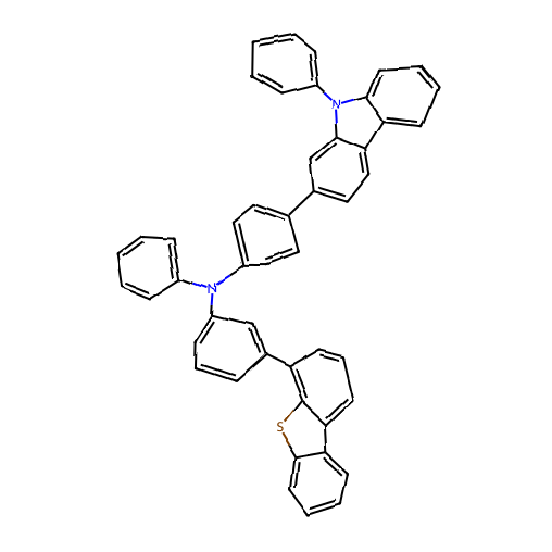 c1ccc(N(c2ccc(-c3ccc4c5ccccc5n(-c5ccccc5)c4c3)cc2)c2cccc(-c3cccc4c3sc3ccccc34)c2)cc1